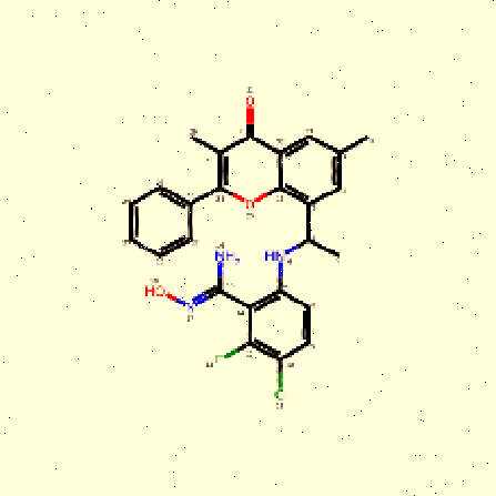 Cc1cc(C(C)Nc2ccc(Cl)c(F)c2C(N)=NO)c2oc(-c3ccccc3)c(C)c(=O)c2c1